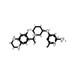 Cc1cc(OC2CCCN(C(C)c3cc4c(cc3F)OCCO4)C2)cc(C(F)(F)F)n1